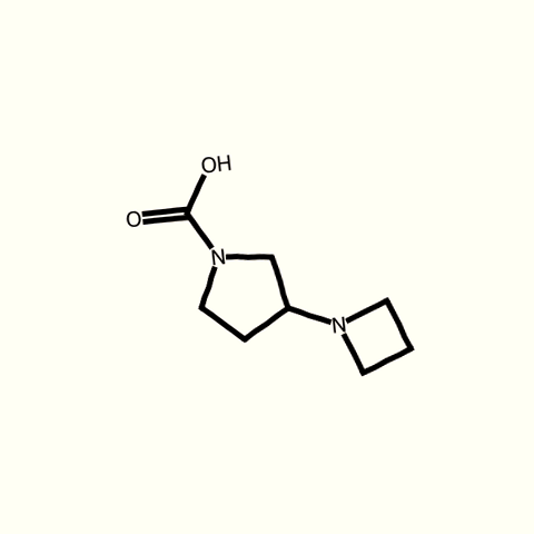 O=C(O)N1CCC(N2CCC2)C1